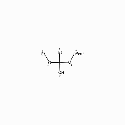 CCCCCOC(O)(CC)OCC